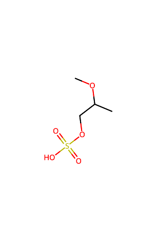 COC(C)COS(=O)(=O)O